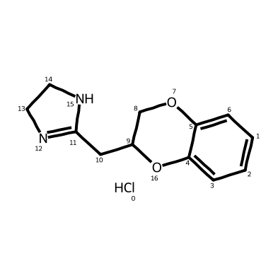 Cl.c1ccc2c(c1)OCC(CC1=NCCN1)O2